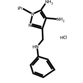 CC(C)n1nc(CNc2ccccc2)c(N)c1N.Cl